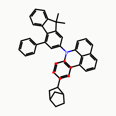 CC1(C)c2ccccc2-c2c(-c3ccccc3)cc(N(c3ccc(C4CC5CCC4C5)cc3)c3cccc4cccc(C5CCCCC5)c34)cc21